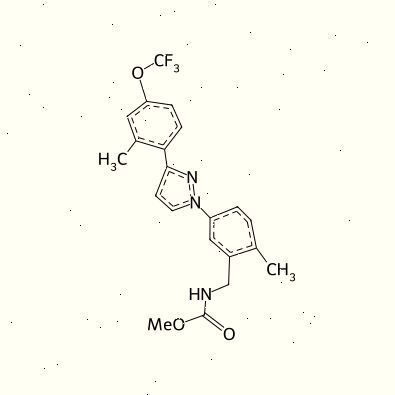 COC(=O)NCc1cc(-n2ccc(-c3ccc(OC(F)(F)F)cc3C)n2)ccc1C